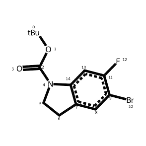 CC(C)(C)OC(=O)N1CCc2cc(Br)c(F)cc21